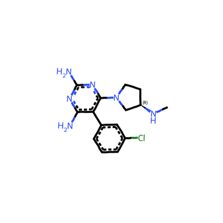 CN[C@@H]1CCN(c2nc(N)nc(N)c2-c2cccc(Cl)c2)C1